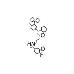 COC(=O)c1cc([C@@H]2C[C@@H](CCCN[C@H](C)c3ccc(F)c(OC)c3)Oc3ccccc32)ccc1C